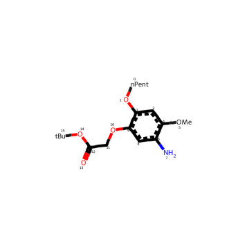 CCCCCOc1cc(OC)c(N)cc1OCC(=O)OC(C)(C)C